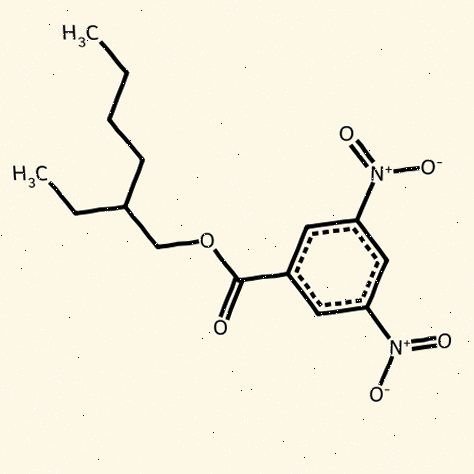 CCCCC(CC)COC(=O)c1cc([N+](=O)[O-])cc([N+](=O)[O-])c1